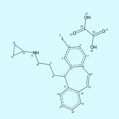 Ic1ccc2c(c1)C(CCCNC1CC1)c1ccccc1C=C2.O=C(O)C(=O)O